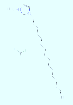 CCCCCCCCCCCCCCCCN1C=CN(C)C1.FC(F)F